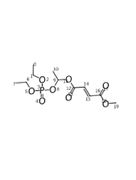 CCOP(=O)(OCC)OC(C)OC(=O)/C=C/C(=O)OC